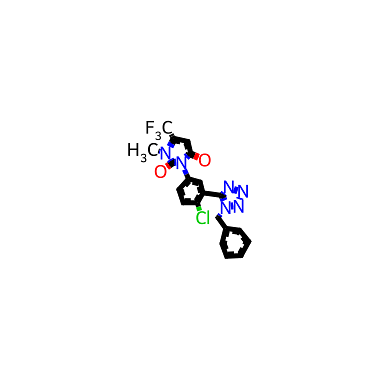 Cn1c(C(F)(F)F)cc(=O)n(-c2ccc(Cl)c(-c3nnnn3Cc3ccccc3)c2)c1=O